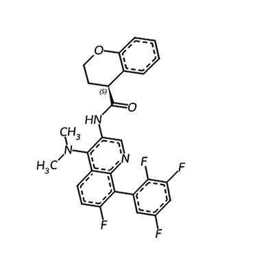 CN(C)c1c(NC(=O)[C@H]2CCOc3ccccc32)cnc2c(-c3cc(F)cc(F)c3F)c(F)ccc12